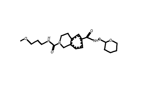 COCCCNC(=O)N1CCc2cc(C(=O)NOC3CCCCO3)ccc2C1